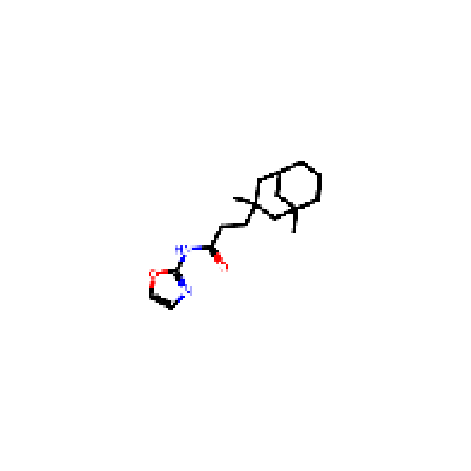 CC12CCCC(C1)CC(C)(CCC(=O)Nc1ncco1)C2